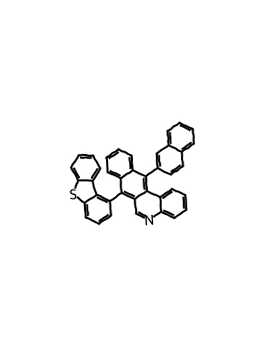 c1ccc2cc(-c3c4ccccc4c(-c4cccc5sc6ccccc6c45)c4cnc5ccccc5c34)ccc2c1